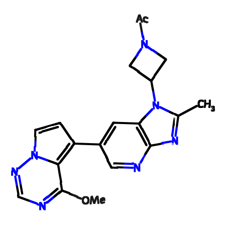 COc1ncnn2ccc(-c3cnc4nc(C)n(C5CN(C(C)=O)C5)c4c3)c12